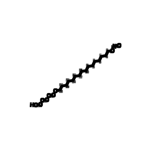 O=NOCCCCCCCCCCCCCCCCOOOOOOO